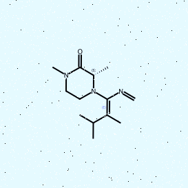 C=N/C(=C(\C)C(C)C)N1CCN(C)C(=O)[C@@H]1C